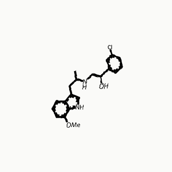 COc1cccc2c(CC(C)NC[C@H](O)c3cccc(Cl)c3)c[nH]c12